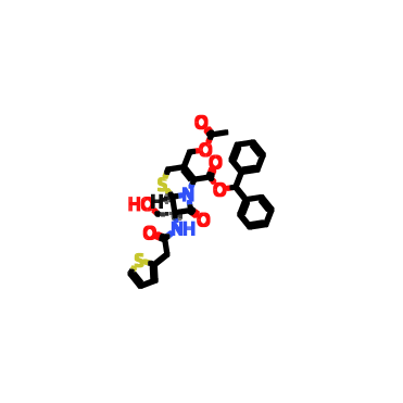 CC(=O)OCC1=C(C(=O)OC(c2ccccc2)c2ccccc2)N2C(=O)[C@@](CO)(NC(=O)Cc3cccs3)[C@H]2SC1